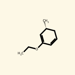 CCOC1=C[C@H](C)CC=C1